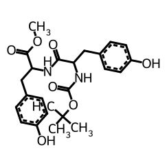 COC(=O)C(Cc1ccc(O)cc1)NC(=O)C(Cc1ccc(O)cc1)NC(=O)OC(C)(C)C